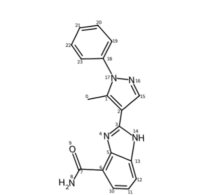 Cc1c(-c2nc3c(C(N)=O)cccc3[nH]2)cnn1-c1ccccc1